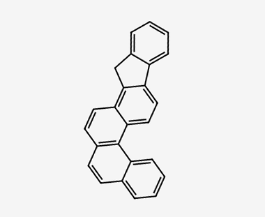 c1ccc2c(c1)Cc1c-2ccc2c1ccc1ccc3ccccc3c12